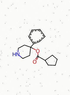 O=C(OC1(c2ccccc2)CCNCC1)C1CCCC1